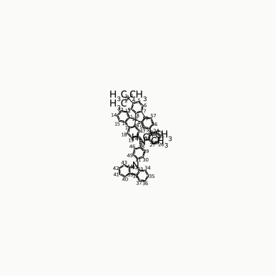 CC(C)(C)c1ccc2c(c1)C1(c3ccccc3-c3ccc(N(c4ccccc4)c4ccc(-n5c6ccccc6c6ccccc65)cc4)cc31)c1cc(C(C)(C)C)ccc1-2